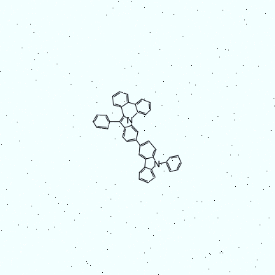 c1ccc(-c2c3ccc(-c4ccc5c(c4)c4ccccc4n5-c4ccccc4)cc3n3c4ccccc4c4ccccc4c23)cc1